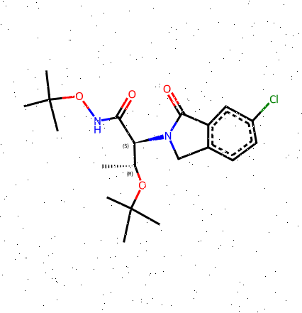 C[C@@H](OC(C)(C)C)[C@@H](C(=O)NOC(C)(C)C)N1Cc2ccc(Cl)cc2C1=O